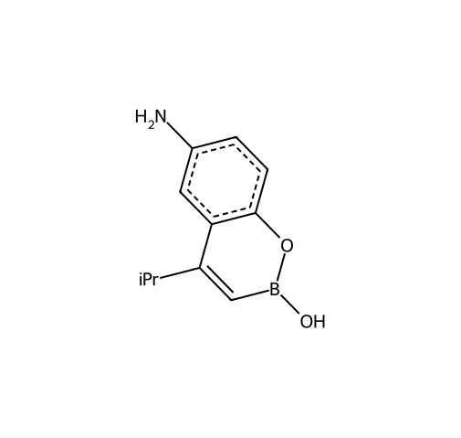 CC(C)C1=CB(O)Oc2ccc(N)cc21